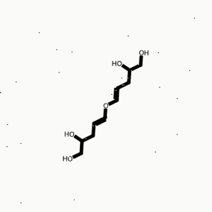 OCC(O)CC=COC=CCC(O)CO